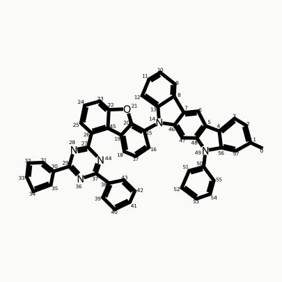 Cc1ccc2c3cc4c5ccccc5n(-c5cccc6c5oc5cccc(-c7nc(-c8ccccc8)nc(-c8ccccc8)n7)c56)c4cc3n(-c3ccccc3)c2c1